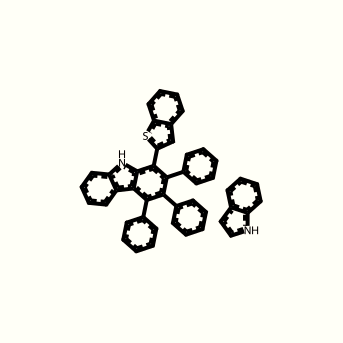 c1ccc(-c2c(-c3ccccc3)c(-c3ccccc3)c3c([nH]c4ccccc43)c2-c2cc3ccccc3s2)cc1.c1ccc2[nH]ccc2c1